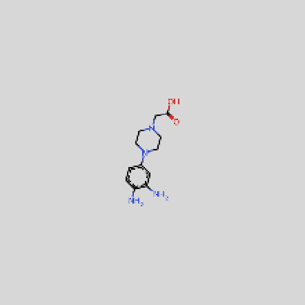 Nc1ccc(N2CCN(CC(=O)O)CC2)cc1N